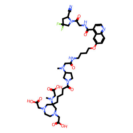 CN(CC(=O)NCCCCOc1ccc2nccc(C(=O)NCC(=O)N3CC(F)(F)CC3C#N)c2c1)C1CCN(C(=O)CCCCC2(N(C)CC(=O)O)CN(CC(=O)O)CCN(CC(=O)O)C2)C1